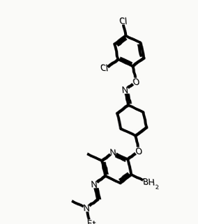 Bc1cc(/N=C/N(C)CC)c(C)nc1OC1CCC(=NOc2ccc(Cl)cc2Cl)CC1